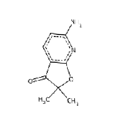 CC1(C)Oc2nc(N)ccc2C1=O